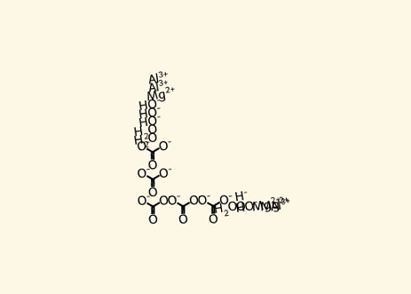 O.O.O.O=C([O-])[O-].O=C([O-])[O-].O=C([O-])[O-].O=C([O-])[O-].O=C([O-])[O-].[Al+3].[Al+3].[Al+3].[Mg+2].[Mg+2].[Mg+2].[OH-].[OH-].[OH-].[OH-].[OH-]